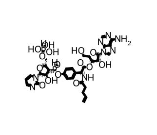 C=CCCC(=O)N[C@H](C(=O)O[C@@H]1C(CO)O[C@@H](n2cnc3c(N)ncnc32)[C@@H]1O)c1ccc(O[PH](=O)[C@H]2[C@@H](O)[C@H](n3cccnc3=O)O[C@@H]2CO[PH](O)(O)O)cc1